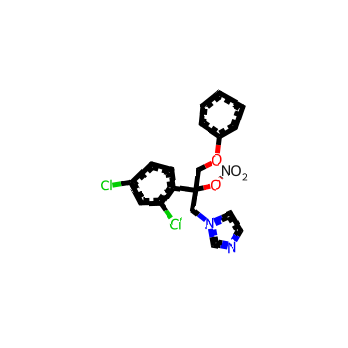 O=[N+]([O-])OC(COc1ccccc1)(Cn1ccnc1)c1ccc(Cl)cc1Cl